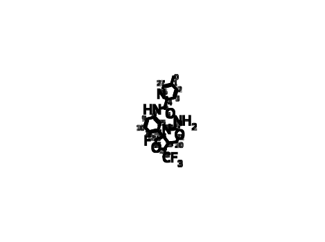 Cc1ccc(C(=O)Nc2ccc(F)c(C34CO[C@H](C(F)(F)F)C3COC(N)=N4)c2)nc1